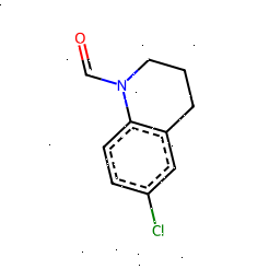 O=CN1CCCc2cc(Cl)ccc21